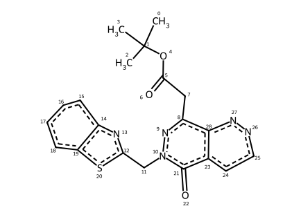 CC(C)(C)OC(=O)Cc1nn(Cc2nc3ccccc3s2)c(=O)c2ccnnc12